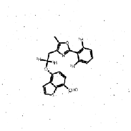 [2H]c1cccc([2H])c1-c1nc(CC([2H])([2H])Oc2ccc(C=O)c3sccc23)c(C)o1